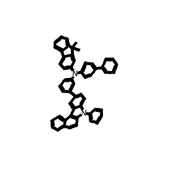 CC1(C)c2ccccc2-c2ccc(N(c3ccc(-c4ccccc4)cc3)c3cccc(-c4ccc5c(c4)c4c6ccccc6ccc4n5-c4ccccc4)c3)cc21